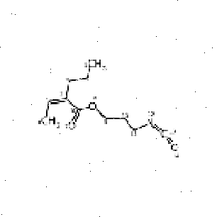 CC=C(CCC)C(=O)OCCCN=C=O